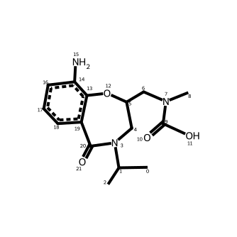 CC(C)N1CC(CN(C)C(=O)O)Oc2c(N)cccc2C1=O